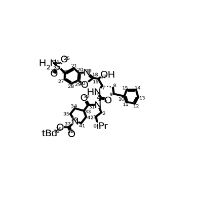 CC(C)CCN(C(=O)N[C@@H](CCc1ccccc1)C(O)c1nc2cc(S(N)(=O)=O)ccc2o1)C(=O)C1CCN(C(=O)OC(C)(C)C)CC1